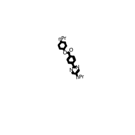 CCCc1cnc(-c2ccc(C(=O)OC3CCC(CCC)CC3)cc2)nc1